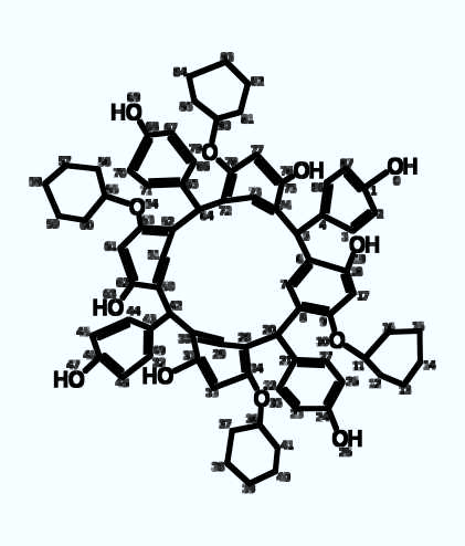 Oc1ccc(C2c3cc(c(OC4CCCCC4)cc3O)C(c3ccc(O)cc3)c3cc(c(O)cc3OC3CCCCC3)C(c3ccc(O)cc3)c3cc(c(OC4CCCCC4)cc3O)C(c3ccc(O)cc3)c3cc2c(O)cc3OC2CCCCC2)cc1